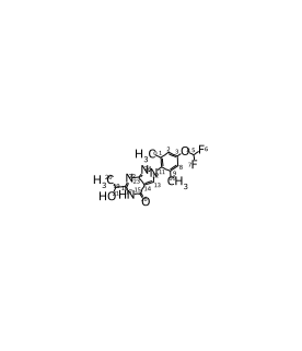 Cc1cc(OC(F)F)cc(C)c1-n1cc2c(=O)[nH]c([C@H](C)O)nc2n1